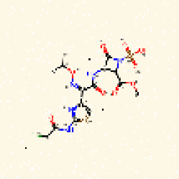 COC(=O)C1C(NC(=O)C(=NOC(C)C)c2csc(NC(=O)CCl)n2)C(=O)N1S(=O)(=O)O